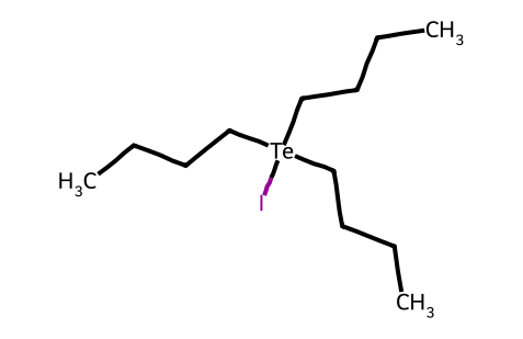 CCCC[Te](I)(CCCC)CCCC